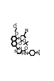 C=C(C#N)CN(C(=O)OC(C)(C)C)c1c(OCCOC)ccc2ccc(-c3nccc(C(=O)NC4CCC(N(C)C)CC4)n3)cc12